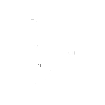 O=C(O)CN(CCOCCCO)C(=O)CCCO